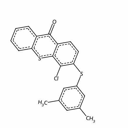 Cc1cc(C)cc(Sc2ccc3c(=O)c4ccccc4sc3c2Cl)c1